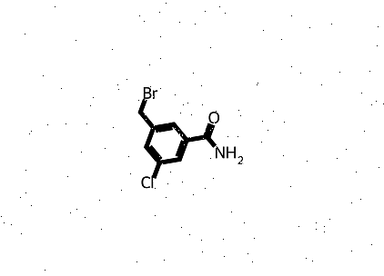 NC(=O)c1cc(Cl)cc(CBr)c1